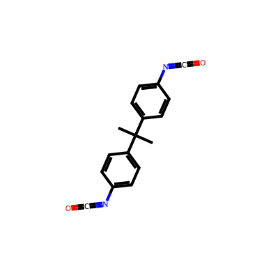 CC(C)(c1ccc(N=C=O)cc1)c1ccc(N=C=O)cc1